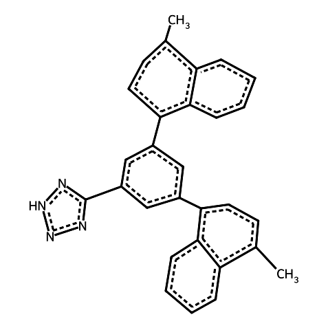 Cc1ccc(-c2cc(-c3nn[nH]n3)cc(-c3ccc(C)c4ccccc34)c2)c2ccccc12